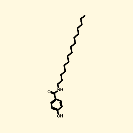 CCCCCCCCCCCCCCCCNC(=O)c1ccc(O)cc1